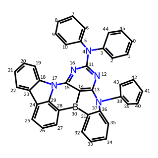 c1ccc(N(c2ccccc2)c2nc3c4c(n2)-n2c5ccccc5c5cccc(c52)B4c2ccccc2N3c2ccccc2)cc1